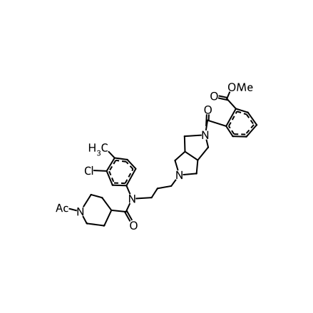 COC(=O)c1ccccc1C(=O)N1CC2CN(CCCN(C(=O)C3CCN(C(C)=O)CC3)c3ccc(C)c(Cl)c3)CC2C1